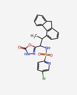 CC(c1cccc2c1-c1ccccc1C2)C(NS(=O)(=O)c1ccc(Br)cn1)c1n[nH]c(=O)o1